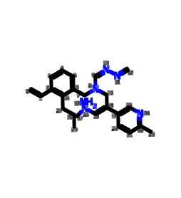 C=Cc1cccc(CN(/C=N\N=C)C/C(=C\N(C)N)c2ccc(C)nc2)c1CCC